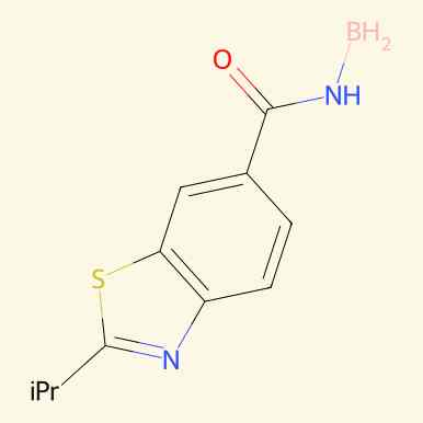 BNC(=O)c1ccc2nc(C(C)C)sc2c1